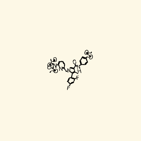 Cc1c(C(=O)Nc2ccc(S(C)(=O)=O)cc2)cn(Cc2cccc(N(S(C)(=O)=O)S(C)(=O)=O)n2)c1-c1ccc(F)cc1F